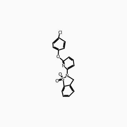 O=S1(=O)c2ccccc2CN1c1cccc(Oc2ccc(Cl)cc2)n1